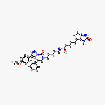 O=C(CCCCC1SCC2NC(=O)NC21)NCCCCCN(CCc1ccccc1)C(=O)n1cc(-c2ccc(OC(F)(F)F)cc2)nn1